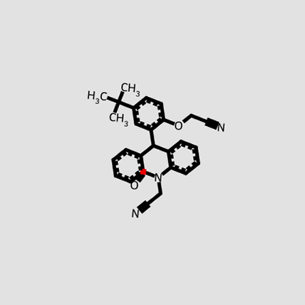 CC(C)(C)c1ccc(OCC#N)c(C(c2ccccc2)c2ccccc2N(C=O)CC#N)c1